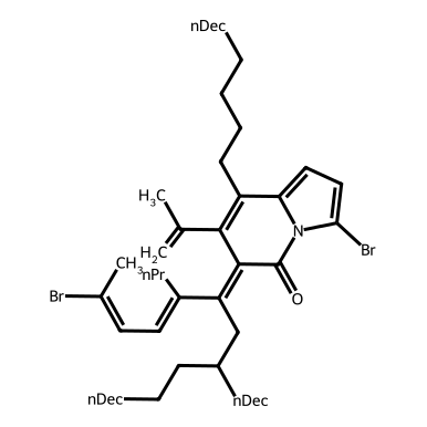 C=C(C)c1c(CCCCCCCCCCCCCC)c2ccc(Br)n2c(=O)/c1=C(CC(CCCCCCCCCC)CCCCCCCCCCCC)/C(=C/C=C(\C)Br)CCC